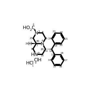 Cl.Cl.O=C(O)N1CCN2[C@H](CNC[C@H]2C(c2ccccc2)c2ccccc2)C1